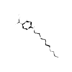 CCCCCCCCCCOc1ccc(C(Br)Br)cc1